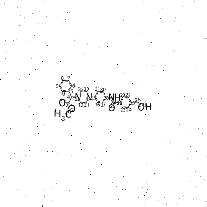 COC(=O)C(c1ccccc1)N1CCN(c2ccc(NC(=O)c3ccc(CO)cc3)cc2)CC1